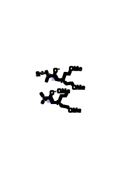 COCCN(/C=C(\[O-])N(C)C)CCOC.COCCN(/C=C(\[O-])N(C)C)CCOC.[Sr+2]